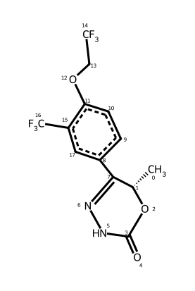 C[C@@H]1OC(=O)NN=C1c1ccc(OCC(F)(F)F)c(C(F)(F)F)c1